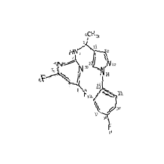 CC(Nc1nc(F)cc(F)n1)c1cnn(-c2ccc(F)cc2)c1